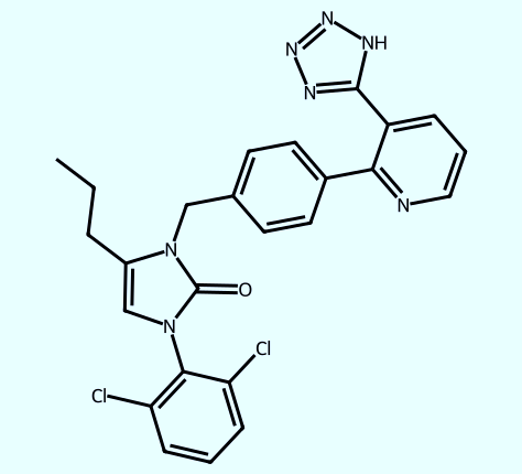 CCCc1cn(-c2c(Cl)cccc2Cl)c(=O)n1Cc1ccc(-c2ncccc2-c2nnn[nH]2)cc1